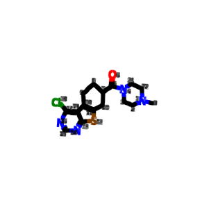 CN1CCN(C(=O)C2CCc3c(sc4ncnc(Cl)c34)C2)CC1